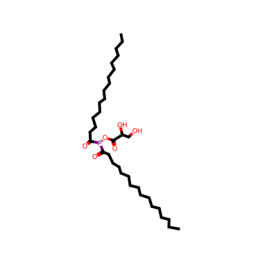 CCCCCCCCCCCCCCCC(=O)P(OC(=O)C(O)CO)C(=O)CCCCCCCCCCCCCCC